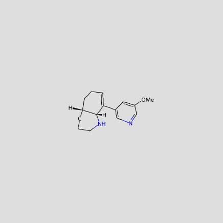 COc1cncc(C2=CCC[C@H]3CCCN[C@@H]23)c1